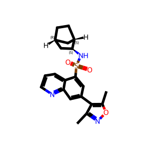 Cc1noc(C)c1-c1cc(S(=O)(=O)N[C@H]2C[C@@H]3CC[C@H]2C3)c2cccnc2c1